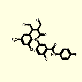 O=C(Nc1ccc(F)cc1)c1cc(NC(=O)C(CCl)C(CCl)c2cc(C(F)(F)F)cc(C(F)(F)F)c2)ccc1Cl